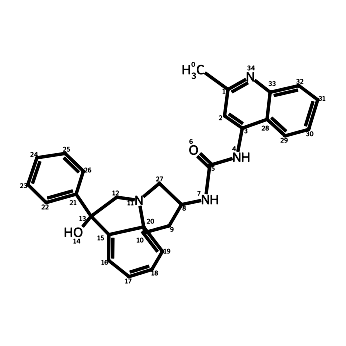 Cc1cc(NC(=O)NC2CCN(CC(O)(c3ccccc3)c3ccccc3)C2)c2ccccc2n1